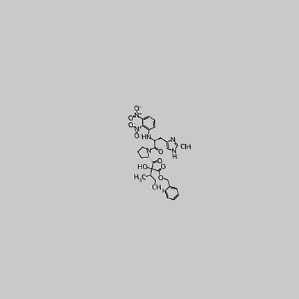 CCC(C)C(O)(C(=O)OCc1ccccc1)C(=O)[C@@H]1CCCN1C(=O)[C@H](Cc1c[nH]cn1)Nc1cccc([N+](=O)[O-])c1[N+](=O)[O-].Cl